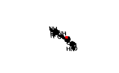 CNC(=O)c1cc(Oc2cccc(C=CC(=O)Nc3ccc(CN)c(C(F)(F)F)c3)c2)ccn1